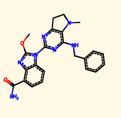 COc1nc2c(C(N)=O)cccc2n1-c1nc2c(c(NCc3ccccc3)n1)N(C)CC2